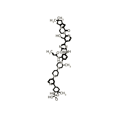 C=CC(=O)Nc1cc(Nc2nc(-c3ccnc(N4CCn5c(cc6c5CC(C)(C)C6)C4=O)c3CO)cnc2OC)ccc1N1CCN(C2CCN(c3ccnc(C4CCC(C)(OP(=O)(O)O)CC4)c3)CC2)C[C@@H]1C